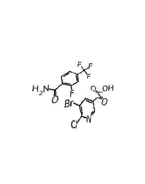 NC(=O)c1ccc(C(F)(F)F)cc1F.O=S(=O)(O)c1cnc(Cl)c(Br)c1